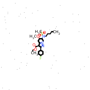 C=CCCCN(c1cn2nc(-c3ccc(F)cc3)c(C(=O)OCC)c2cc1OC)S(C)(=O)=O